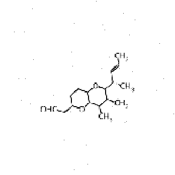 C/C=C/[C@H](C)[C@@H]1OC2CC[C@H](CC=O)OC2[C@H](C)[C@@H]1C